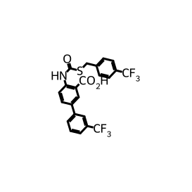 O=C(Nc1ccc(-c2cccc(C(F)(F)F)c2)cc1C(=O)O)SCc1ccc(C(F)(F)F)cc1